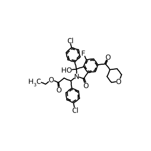 CCOC(=O)CC(c1ccc(Cl)cc1)N1C(=O)c2cc(C(=O)C3CCOCC3)cc(F)c2C1(O)c1ccc(Cl)cc1